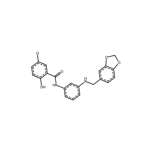 O=C(Nc1cccc(NCc2ccc3c(c2)OCO3)c1)c1cc(Cl)ccc1O